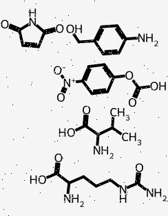 CC(C)C(N)C(=O)O.NC(=O)NCCCC(N)C(=O)O.Nc1ccc(CO)cc1.O=C(O)Oc1ccc([N+](=O)[O-])cc1.O=C1C=CC(=O)N1